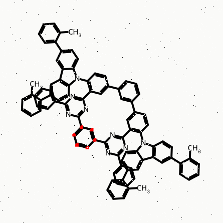 Cc1ccccc1-c1ccc2c(c1)c1cc(-c3ccccc3C)ccc1n2-c1ccc(-c2cccc(-c3ccc(-n4c5ccc(-c6ccccc6C)cc5c5cc(-c6ccccc6C)ccc54)c(-c4nc(-c5ccccc5)nc(-c5ccccc5)n4)c3)c2)cc1-c1nc(-c2ccccc2)nc(-c2ccccc2)n1